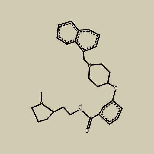 CN1CCCC1CCNC(=O)c1cccc(OC2CCN(Cc3cccc4ccccc34)CC2)c1